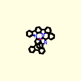 c1ccc(-c2nc3ccccc3nc2-n2c3ccccc3c3ccc4c5ccccc5n(-c5ccc6c7ccccc7c7ccccc7c6c5)c4c32)cc1